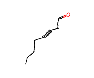 CCCCC#CCC=O